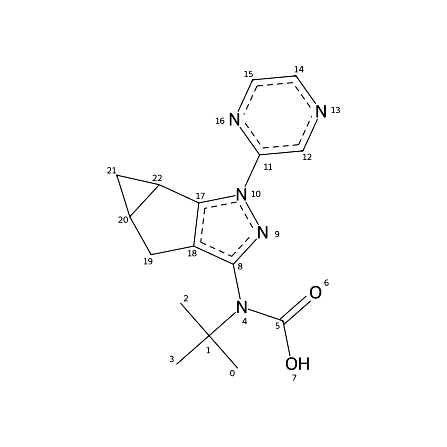 CC(C)(C)N(C(=O)O)c1nn(-c2cnccn2)c2c1CC1CC21